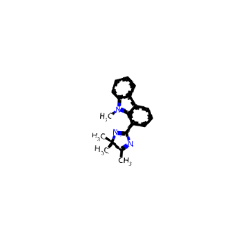 CC1=NC(c2cccc3c4ccccc4n(C)c23)=NC1(C)C